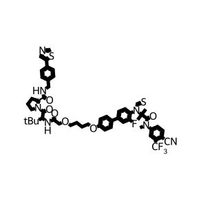 CN(C(=O)C(C)(C)N(C=S)c1ccc(-c2ccc(OCCCCOCC(=O)NC(C(=O)N3CCC[C@H]3C(=O)NCc3ccc(-c4cncs4)cc3)C(C)(C)C)cc2)cc1F)c1ccc(C#N)c(C(F)(F)F)c1